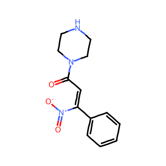 O=C(C=C(c1ccccc1)[N+](=O)[O-])N1CCNCC1